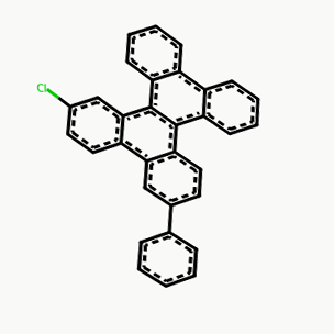 Clc1ccc2c3cc(-c4ccccc4)ccc3c3c4ccccc4c4ccccc4c3c2c1